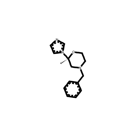 C[C@@]1(n2ccnc2)CN(Cc2ccccc2)CCO1